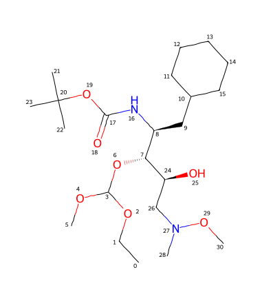 CCOC(OC)O[C@H]([C@H](CC1CCCCC1)NC(=O)OC(C)(C)C)[C@@H](O)CN(C)OC